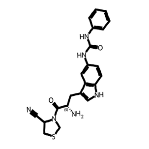 N#CC1CSCN1C(=O)[C@@H](N)Cc1c[nH]c2ccc(NC(=O)Nc3ccccc3)cc12